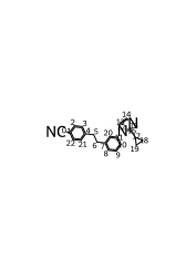 N#Cc1ccc(CCc2cccc(-n3ccnc3C3CC3)c2)cc1